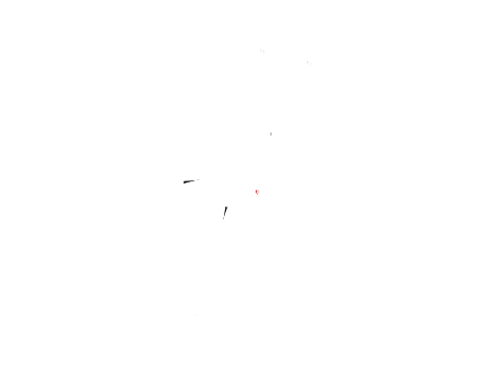 COC(=O)O[C@]12CC[C@@]3(C)[C@@H](C[C@H](C)[C@@]3(O)C(=O)Cc3ncc[nH]3)[C@@H]1CCC1=CC(=O)CC[C@@]12C